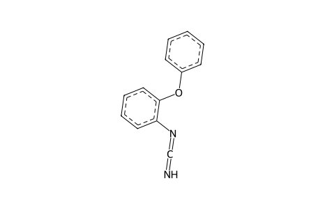 N=C=Nc1ccccc1Oc1ccccc1